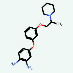 CC(COc1cccc(Oc2ccc(N)c(N)c2)c1)N1CCCCC1